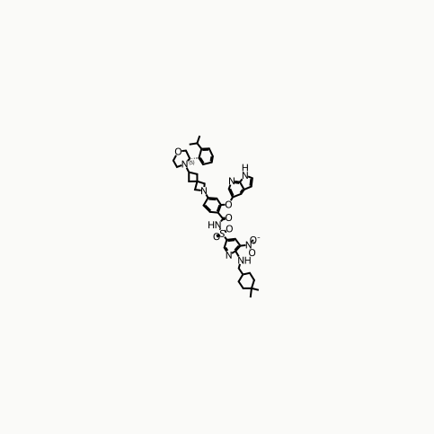 CC(C)c1ccccc1[C@H]1COCCN1C1CC2(C1)CN(c1ccc(C(=O)NS(=O)(=O)c3cnc(NCC4CCC(C)(C)CC4)c([N+](=O)[O-])c3)c(Oc3cnc4[nH]ccc4c3)c1)C2